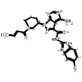 C/C=C/C(=O)N1CCCC(n2nc(C(=O)Nc3nc4cc(Cl)ccc4o3)c3c(N)ncnc32)C1